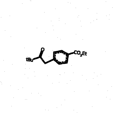 CCOC(=O)c1ccc(CC(=O)C(C)(C)C)cc1